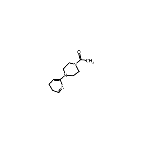 CC(=O)N1CCN(C2=CCCC=N2)CC1